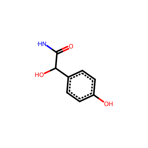 [NH]C(=O)C(O)c1ccc(O)cc1